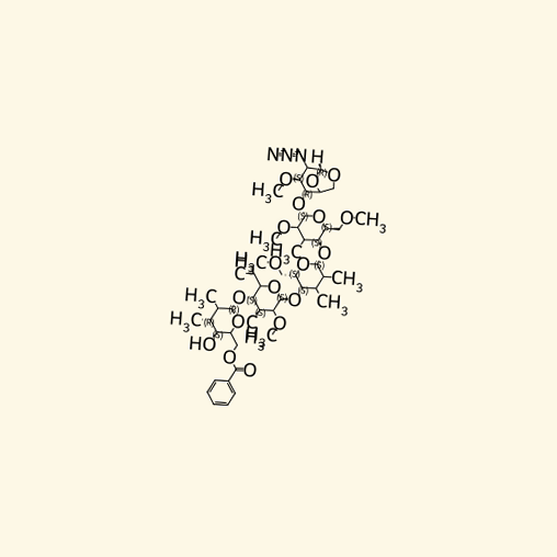 CCC1O[C@@H](O[C@H]2C(C)C(C)[C@@H](O[C@H]3C(C)C(OC)[C@H](O[C@H]4C5CO[C@H](O5)C(N=[N+]=[N-])[C@@H]4OC)O[C@H]3COC)O[C@H]2COC)C(OC)[C@@H](C)[C@@H]1O[C@@H]1OC(COC(=O)c2ccccc2)[C@@H](O)[C@H](C)C1C